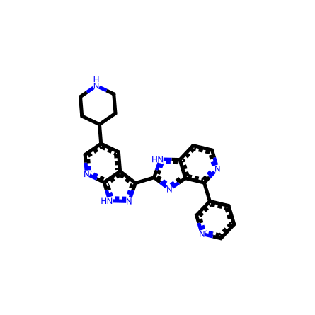 c1cncc(-c2nccc3[nH]c(-c4n[nH]c5ncc(C6CCNCC6)cc45)nc23)c1